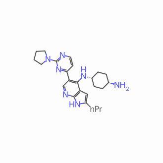 CCCc1cc2c(N[C@H]3CC[C@H](N)CC3)c(-c3ccnc(N4CCCC4)n3)cnc2[nH]1